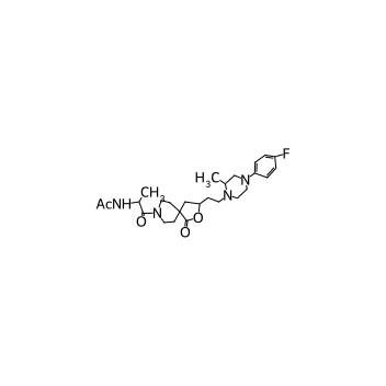 CC(=O)NC(C)C(=O)N1CCC2(CC1)CC(CCN1CCN(c3ccc(F)cc3)CC1C)OC2=O